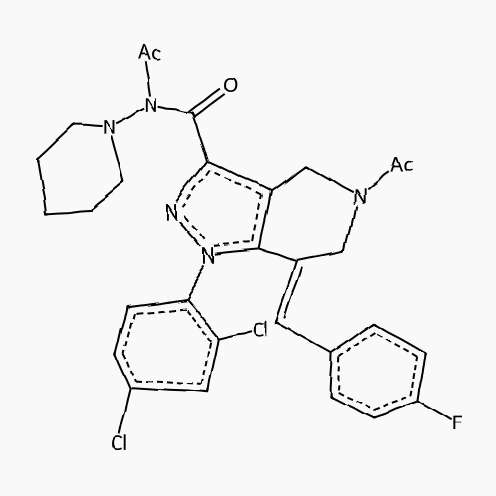 CC(=O)N1CC(=Cc2ccc(F)cc2)c2c(c(C(=O)N(C(C)=O)N3CCCCC3)nn2-c2ccc(Cl)cc2Cl)C1